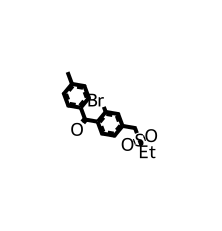 CCS(=O)(=O)Cc1ccc(C(=O)c2ccc(C)cc2)c(Br)c1